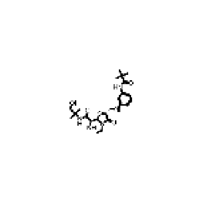 CCN1C(=O)[C@@H](CNc2cccc(NC(=O)C(C)(C)C)c2)SC1[C@H](N)C(=O)NC(C)(C)CO